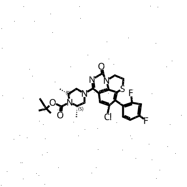 C[C@@H]1CN(c2nc(=O)n3c4c(c(-c5ccc(F)cc5F)c(Cl)cc24)SCC3)C[C@H](C)N1C(=O)OC(C)(C)C